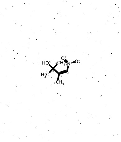 CC(=C[N+](=O)[O-])C(C)(C)O